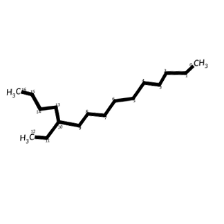 CCCCCCCCCCC(CC)CCCC